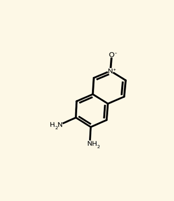 Nc1cc2cc[n+]([O-])cc2cc1N